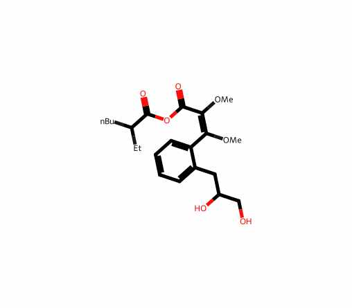 CCCCC(CC)C(=O)OC(=O)C(OC)=C(OC)c1ccccc1CC(O)CO